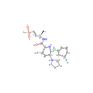 C[C@H](/C=C/S(C)(=O)=O)NC(=O)c1ncc(N2CCC[C@H]2c2c(F)cccc2Cl)cc1F